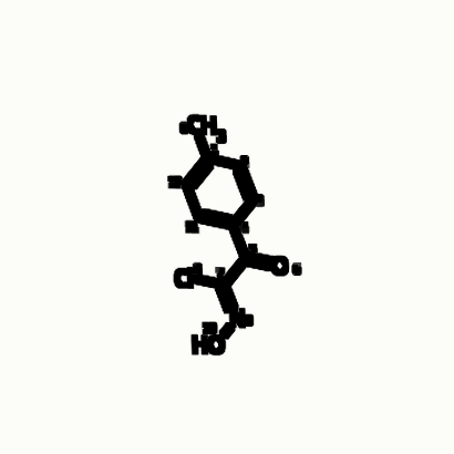 Cc1ccc(C(=O)/C(Cl)=N/O)cc1